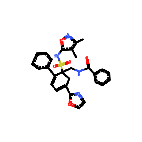 Cc1noc(NS(=O)(=O)C2(CNC(=O)c3ccccc3)CC(c3ncco3)=CC=C2c2ccccc2)c1C